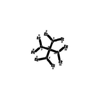 CCN(CC)[Si](N(CC)CC)(N(CC)CC)N(CC)CC